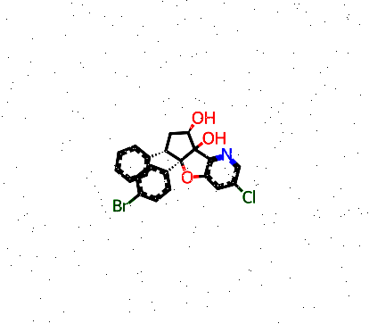 O[C@@H]1C[C@@H](c2ccccc2)[C@]2(c3ccc(Br)cc3)Oc3cc(Cl)cnc3C12O